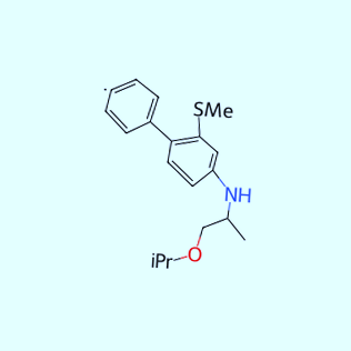 CSc1cc(NC(C)COC(C)C)ccc1-c1cc[c]cc1